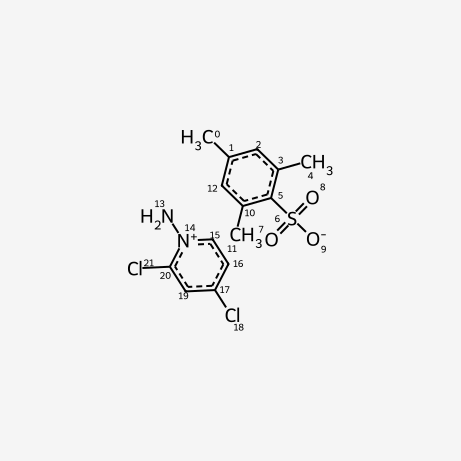 Cc1cc(C)c(S(=O)(=O)[O-])c(C)c1.N[n+]1ccc(Cl)cc1Cl